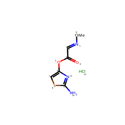 CON=CC(=O)Oc1csc(N)n1.Cl